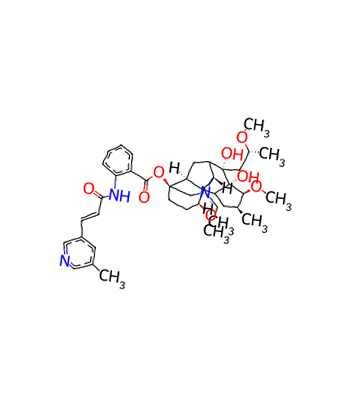 CCN1C[C@]2(OC(=O)c3ccccc3NC(=O)/C=C/c3cncc(C)c3)CC[C@H](OC)C34[C@@H]1C(C[C@@H]32)[C@@](O)(C[C@@H](C)OC)[C@@]1(O)[C@@H](OC)[C@@H](C)C[C@@H]41